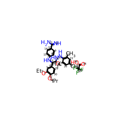 CCOc1cc(C(Nc2ccc(C(=N)N)cc2)C(=O)NNc2c(C)cc(C)cc2C)ccc1OC(C)C.O=C(O)C(F)(F)F